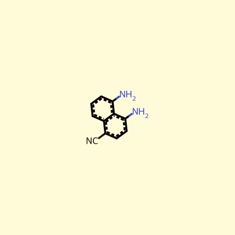 N#Cc1ccc(N)c2c(N)cccc12